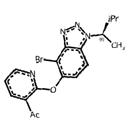 CC(=O)c1cccnc1Oc1ccc2c(nnn2[C@H](C)C(C)C)c1Br